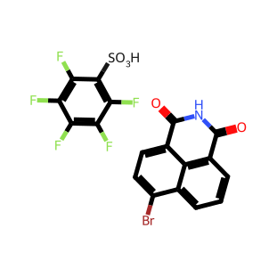 O=C1NC(=O)c2ccc(Br)c3cccc1c23.O=S(=O)(O)c1c(F)c(F)c(F)c(F)c1F